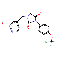 COc1cc(CN2CC(=O)N(c3ccc(OC(F)(F)F)cc3)C2=O)ccn1